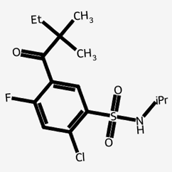 CCC(C)(C)C(=O)c1cc(S(=O)(=O)NC(C)C)c(Cl)cc1F